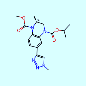 COC(=O)N1c2ccc(-c3cn(C)nn3)cc2N(C(=O)OC(C)C)C[C@@H]1C